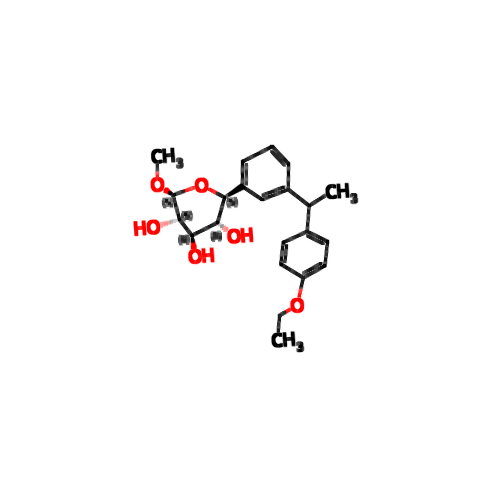 CCOc1ccc(C(C)c2cccc([C@@H]3O[C@H](OC)[C@@H](O)[C@H](O)[C@H]3O)c2)cc1